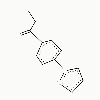 O=C(CBr)c1ccc(-n2cccn2)cc1